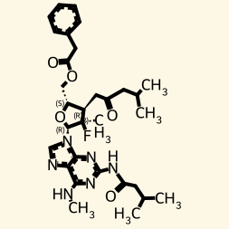 CNc1nc(NC(=O)CC(C)C)nc2c1ncn2[C@@H]1O[C@H](COC(=O)Cc2ccccc2)[C@@H](CC(=O)CC(C)C)[C@@]1(C)F